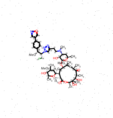 CC[C@H]1OC(=O)[C@H](C)[C@@H](C2C[C@@](C)(OC)[C@@H](O)[C@H](C)O2)[C@H](C)[C@@H](O[C@@H]2O[C@H](C)C[C@H](N(C)CCc3cn([C@H](CF)[C@H](OC)c4ccc(-c5cnoc5)cc4)nn3)[C@H]2O)[C@](C)(OC)C[C@@H](C)C(=O)[C@H](C)[C@@H](O)[C@]1(C)O